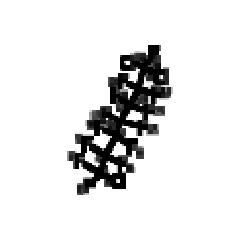 FC(F)(Cl)C(F)(F)C(F)(F)C(F)(F)C(F)(F)C(F)(F)C(F)(Cl)Cl